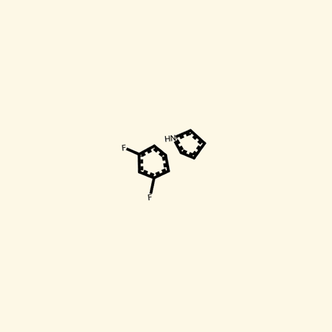 Fc1cccc(F)c1.c1cc[nH]c1